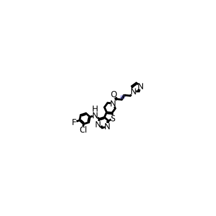 O=C(/C=C/Cn1ccnc1)N1CCc2c(sc3ncnc(Nc4ccc(F)c(Cl)c4)c23)C1